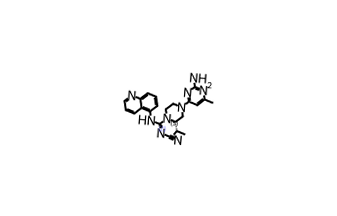 Cc1cc(N2CCN(/C(=N\C#N)Nc3cccc4ncccc34)[C@@H](C(C)C)C2)nc(N)n1